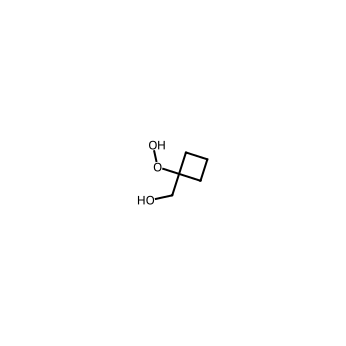 OCC1(OO)CCC1